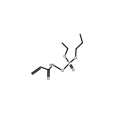 C=CC(=O)NOP(=O)(OCC)OCCC